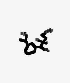 C=CCC(F)(F)C(=C)c1cccc(C(=O)OC)c1